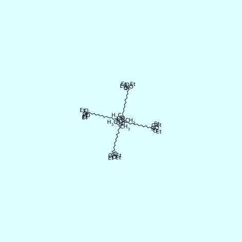 CCO[Si](CCCCCCCCCCCCC[Si]1(C)O[Si](C)(CCCCCCCCCCCCC[Si](OCC)(OCC)OCC)O[Si](C)(CCCCCCCCCCCCC[Si](OCC)(OCC)OCC)O[Si](C)(CCCCCCCCCCCCC[Si](OCC)(OCC)OCC)O1)(OCC)OCC